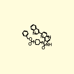 O=C(OCc1ccccc1)N1CCC(n2c(=O)[nH]c3cnc4ccc(-c5cnc6ccccc6c5)nc4c32)CC1